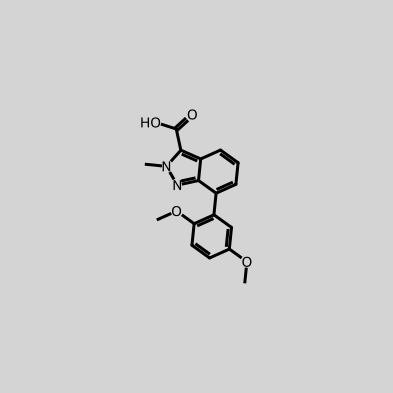 COc1ccc(OC)c(-c2cccc3c(C(=O)O)n(C)nc23)c1